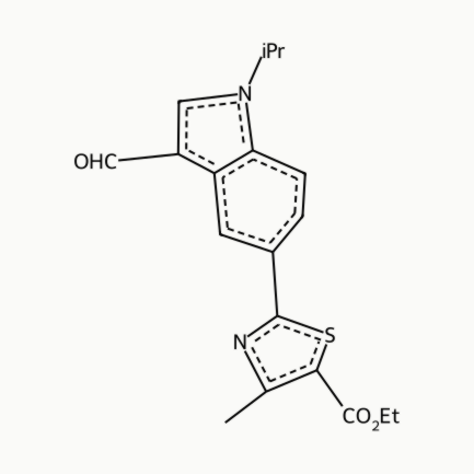 CCOC(=O)c1sc(-c2ccc3c(c2)c(C=O)cn3C(C)C)nc1C